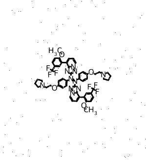 COc1ccc(C(F)(F)F)cc1-c1cccn2nc(N(c3ccc(OCCN4CCCC4)cc3)N(c3ccc(OCCN4CCCC4)cc3)c3nc4c(-c5cc(C(F)(F)F)ccc5OC)cccn4n3)nc12